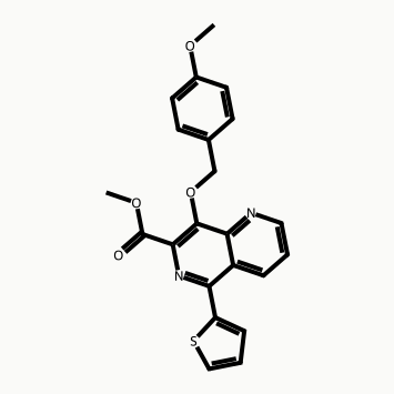 COC(=O)c1nc(-c2cccs2)c2cccnc2c1OCc1ccc(OC)cc1